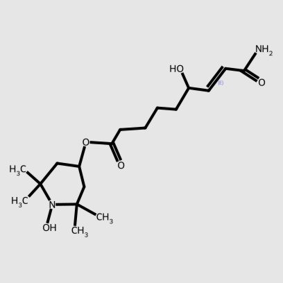 CC1(C)CC(OC(=O)CCCCC(O)/C=C/C(N)=O)CC(C)(C)N1O